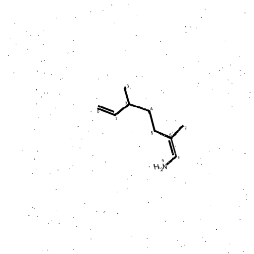 C=CC(C)CC/C(C)=C\N